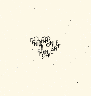 Cn1cc(NC(=O)c2ccc3ccc(N[C@@H]4CCCC(F)(F)[C@@H]4N)nn23)c(C(F)F)n1.O=C(O)C(F)(F)F